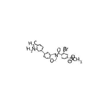 Cc1ccc(-c2ccc3c(c2)CN(C(=O)c2ccc(S(C)(=O)=O)cc2Br)CCO3)cc1N